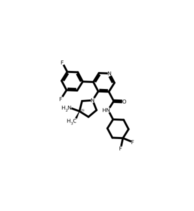 C[C@]1(N)CCN(c2c(C(=O)NC3CCC(F)(F)CC3)cncc2-c2cc(F)cc(F)c2)C1